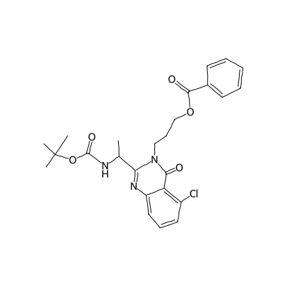 CC(NC(=O)OC(C)(C)C)c1nc2cccc(Cl)c2c(=O)n1CCCOC(=O)c1ccccc1